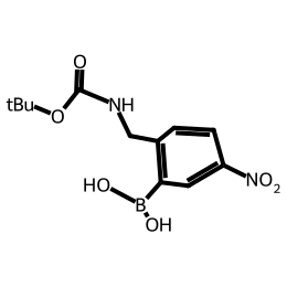 CC(C)(C)OC(=O)NCc1ccc([N+](=O)[O-])cc1B(O)O